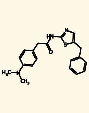 CN(C)c1ccc(CC(=O)Nc2ncc(Cc3ccccc3)s2)cc1